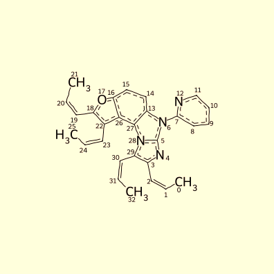 C/C=C\c1nc2n(-c3ccccn3)c3ccc4oc(/C=C\C)c(/C=C\C)c4c3n2c1/C=C\C